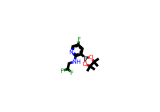 CC1(C)OB(c2cc(F)cnc2NCC(F)F)OC1(C)C